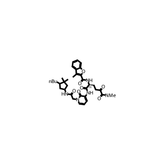 CCCCC1CC(NC(=O)Cn2cccc(NC(=O)[C@H](CCC(=O)C(=O)NC)NC(=O)c3oc4ccccc4c3C)c2=O)CC1(C)C